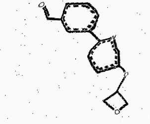 O=Cc1cccc(-c2ccc(OC3COC3)cn2)c1